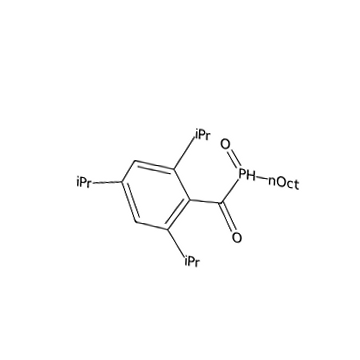 CCCCCCCC[PH](=O)C(=O)c1c(C(C)C)cc(C(C)C)cc1C(C)C